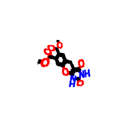 COC(=O)c1cc2c(cc1C(=O)OC)Oc1[nH]c(=O)[nH]c(=O)c1C2